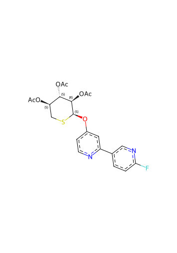 CC(=O)O[C@@H]1[C@@H](OC(C)=O)[C@@H](Oc2ccnc(-c3ccc(F)nc3)c2)SC[C@H]1OC(C)=O